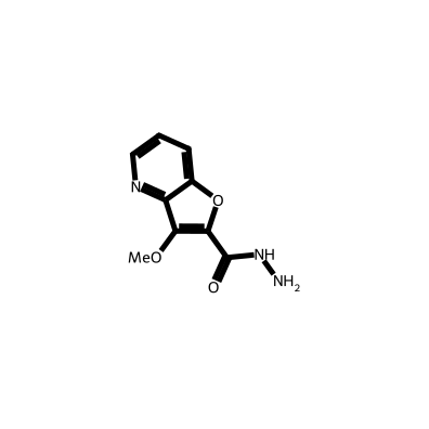 COc1c(C(=O)NN)oc2cccnc12